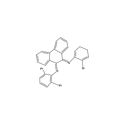 CC(C)c1cccc(C(C)C)c1/N=C1/C(=N/C2=CCCC=C2Br)c2ccccc2-c2ccccc21